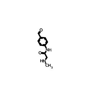 CNCC(=O)Nc1ccc(C=O)cc1